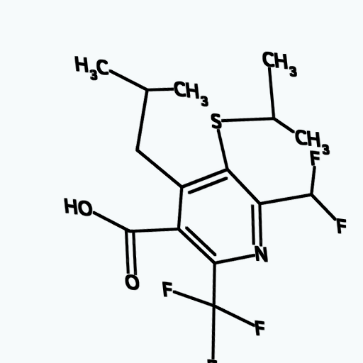 CC(C)Cc1c(SC(C)C)c(C(F)F)nc(C(F)(F)F)c1C(=O)O